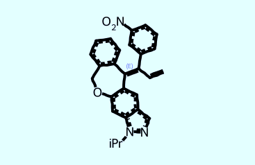 C=C/C(=C1/c2ccccc2COc2cc3c(cnn3C(C)C)cc21)c1cccc([N+](=O)[O-])c1